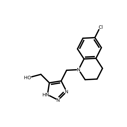 OCc1[nH]nnc1CN1CCCc2cc(Cl)ccc21